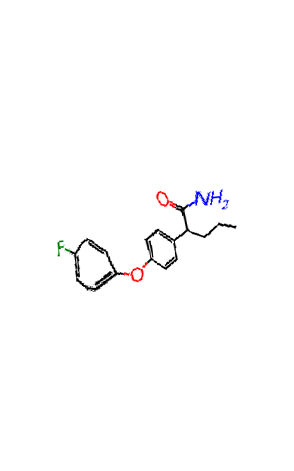 CCCC(C(N)=O)c1ccc(Oc2ccc(F)cc2)cc1